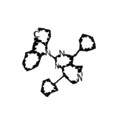 c1ccc(-c2nc(-n3c4ccccc4c4ccccc43)nc3c(-c4ccccc4)cncc23)cc1